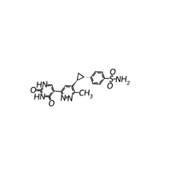 Cc1nnc(-c2c[nH]c(=O)[nH]c2=O)cc1[C@H]1C[C@@H]1c1ccc(S(N)(=O)=O)cc1